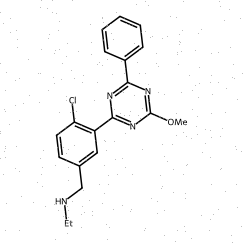 CCNCc1ccc(Cl)c(-c2nc(OC)nc(-c3ccccc3)n2)c1